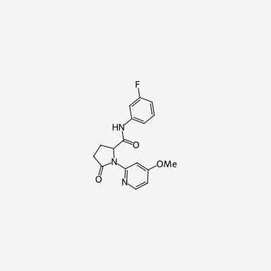 COc1ccnc(N2C(=O)CCC2C(=O)Nc2cccc(F)c2)c1